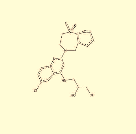 O=S1(=O)CCN(c2cc(NCC(O)CO)c3cc(Cl)ccc3n2)Cc2ccccc21